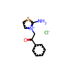 Nc1scc[n+]1CC(=O)c1ccccc1.[Cl-]